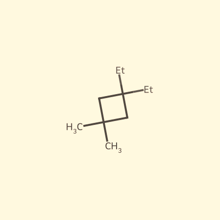 CCC1(CC)CC(C)(C)C1